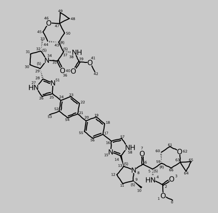 COC(=O)N[C@H](C(=O)N1[C@@H](C)CC[C@H]1c1nc(-c2ccc(-c3ccc(-c4c[nH]c([C@@H]5CC[C@H](C)N5C(=O)[C@@H](NC(=O)OC)[C@@H]5CCOC6(CC6)C5)n4)c(C)c3)cc2)c[nH]1)[C@@H]1CCOC2(CC2)C1